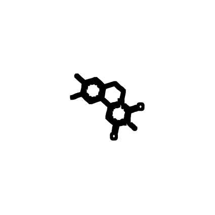 Cc1cc2c(cc1C)-c1cc(=O)n(C)c(=O)n1CC2